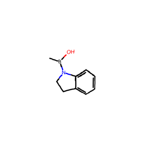 CB(O)N1CCc2ccccc21